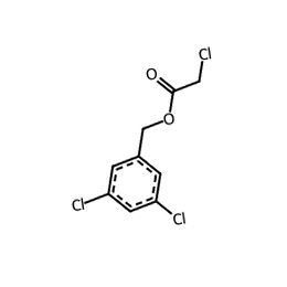 O=C(CCl)OCc1cc(Cl)cc(Cl)c1